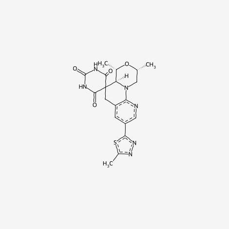 Cc1nnc(-c2cnc3c(c2)CC2(C(=O)NC(=O)NC2=O)[C@H]2[C@H](C)O[C@H](C)CN32)s1